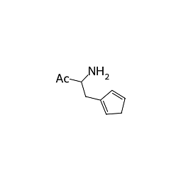 CC(=O)C(N)CC1=CCC=C1